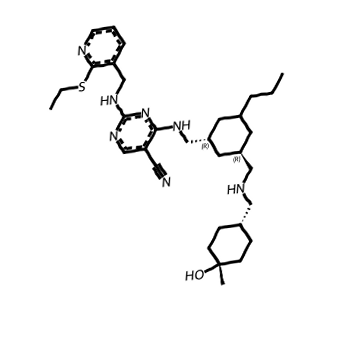 CCCC1C[C@@H](CNC[C@H]2CC[C@@](C)(O)CC2)C[C@H](CNc2nc(NCc3cccnc3SCC)ncc2C#N)C1